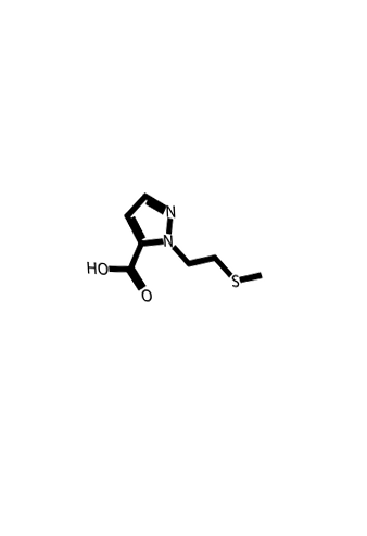 CSCCn1nccc1C(=O)O